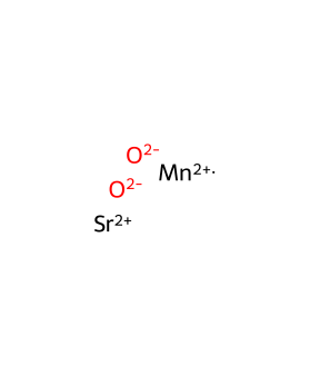 [Mn+2].[O-2].[O-2].[Sr+2]